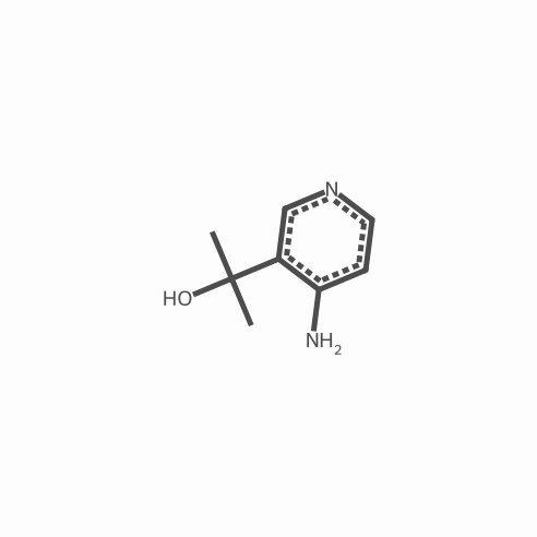 CC(C)(O)c1cnccc1N